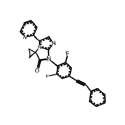 O=C1N(c2c(F)cc(C#Cc3ccccc3)cc2F)c2ncc(-c3ccccn3)n2C12CC2